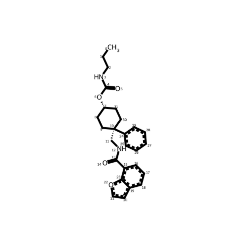 CCCNC(=O)O[C@H]1CC[C@](CNC(=O)c2cccc3ccoc23)(c2ccccc2)CC1